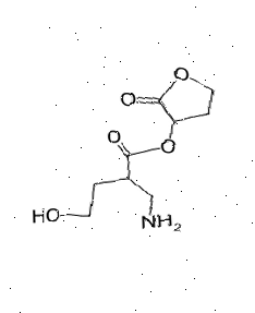 NCC(CCO)C(=O)OC1CCOC1=O